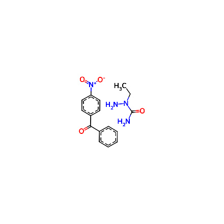 CCN(N)C(N)=O.O=C(c1ccccc1)c1ccc([N+](=O)[O-])cc1